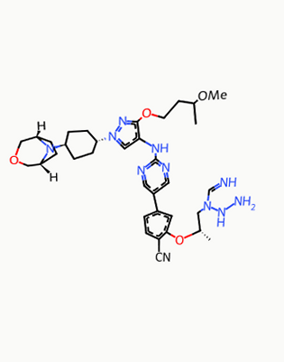 COC(C)CCOc1nn([C@H]2CC[C@H](N3[C@@H]4CC[C@H]3COC4)CC2)cc1Nc1ncc(-c2ccc(C#N)c(O[C@@H](C)CN(C=N)NN)c2)cn1